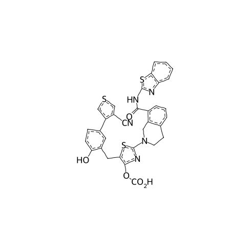 N#Cc1cscc1-c1ccc(O)c(Cc2sc(N3CCc4cccc(C(=O)Nc5nc6ccccc6s5)c4C3)nc2OC(=O)O)c1